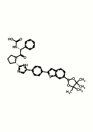 CC1(C)OB(c2ccc3cc(-c4ccc(-c5cnc([C@@H]6CCCN6C(=O)[C@H](NC(=O)O)c6ccccc6)[nH]5)cc4)sc3c2)OC1(C)C